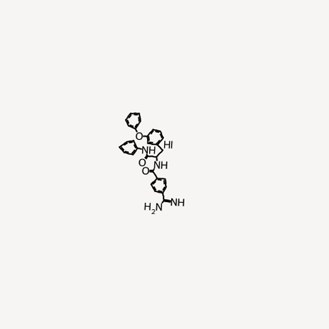 I.N=C(N)c1ccc(C(=O)NC(Cc2cccc(Oc3ccccc3)c2)C(=O)Nc2ccccc2)cc1